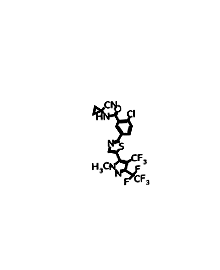 Cn1nc(C(F)(F)C(F)(F)F)c(C(F)(F)F)c1-c1cnc(-c2ccc(Cl)c(C(=O)NC3(C#N)CC3)c2)s1